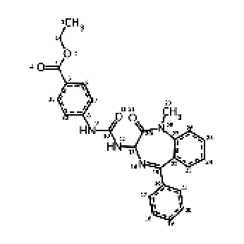 CCOC(=O)c1ccc(NC(=O)NC2N=C(c3ccccc3)c3ccccc3N(C)C2=O)cc1